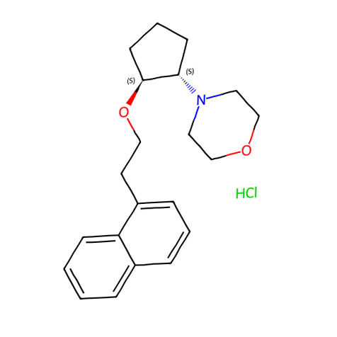 Cl.c1ccc2c(CCO[C@H]3CCC[C@@H]3N3CCOCC3)cccc2c1